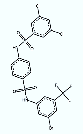 O=S(=O)(Nc1cc(Br)cc(C(F)(F)F)c1)c1ccc(NS(=O)(=O)c2cc(Cl)cc(Cl)c2)cc1